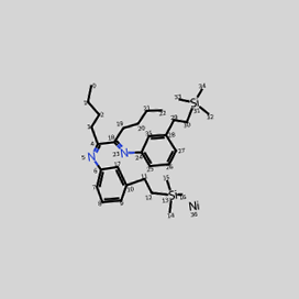 CCCCC(=Nc1cccc(CC[Si](C)(C)C)c1)C(CCCC)=Nc1cccc(CC[Si](C)(C)C)c1.[Ni]